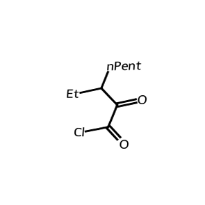 CCCCCC(CC)C(=O)C(=O)Cl